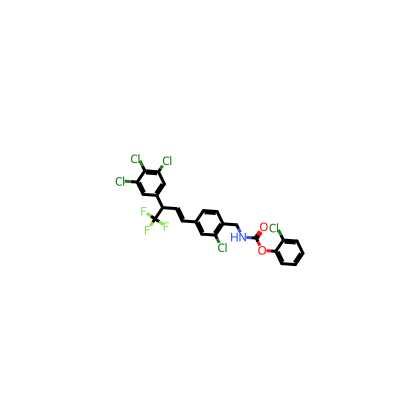 O=C(NCc1ccc(/C=C/C(c2cc(Cl)c(Cl)c(Cl)c2)C(F)(F)F)cc1Cl)Oc1ccccc1Cl